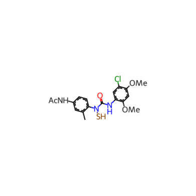 COc1cc(OC)c(NC(=O)N(S)c2ccc(NC(C)=O)cc2C)cc1Cl